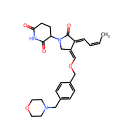 C\C=C/C=C1/C(=O)N(C2CCC(=O)NC2=O)C/C1=C\OCc1ccc(CN2CCOCC2)cc1